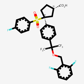 O=C(O)[C@H]1CC[C@](c2ccc(C(OCc3c(F)cccc3F)(C(F)(F)F)C(F)(F)F)cc2)(S(=O)(=O)c2ccc(F)cc2)C1